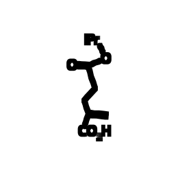 C=C(CCC(=O)OC(C)C)C(=O)O